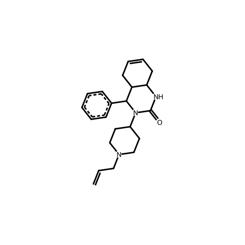 C=CCN1CCC(N2C(=O)NC3CC=CCC3C2c2ccccc2)CC1